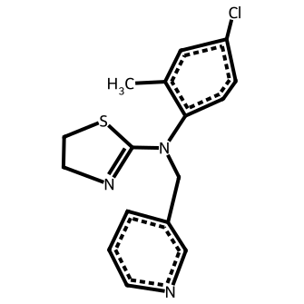 Cc1cc(Cl)ccc1N(Cc1cccnc1)C1=NCCS1